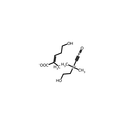 CC(=CCCO)C(=O)[O-].C[N+](C)(C#P=O)CCO